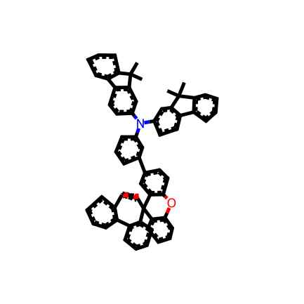 CC1(C)c2ccccc2-c2ccc(N(c3cccc(-c4ccc5c(c4)C4(c6ccccc6O5)c5ccccc5-c5ccccc5-c5ccccc54)c3)c3ccc4c(c3)C(C)(C)c3ccccc3-4)cc21